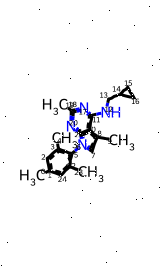 Cc1cc(C)c(-n2cc(C)c3c(NCC4CC4)nc(C)nc32)c(C)c1